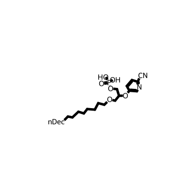 CCCCCCCCCCCCCCCCCCOCC(COP(=O)(O)O)Oc1ccc(C#N)nc1